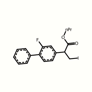 CCCOC(=O)C(CI)c1ccc(-c2ccccc2)c(F)c1